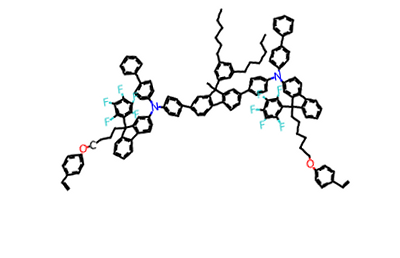 C=Cc1ccc(OCCCCCCC2(c3c(F)c(F)c(F)c(F)c3F)c3ccccc3-c3ccc(N(c4ccc(-c5ccccc5)cc4)c4ccc(-c5ccc6c(c5)C(C)(c5cc(CCCCCC)cc(CCCCCC)c5)c5cc(-c7ccc(N(c8ccc(-c9ccccc9)cc8)c8ccc9c(c8)C(CCCCOc8ccc(C=C)cc8)(c8c(F)c(F)c(F)c(F)c8F)c8ccccc8-9)cc7)ccc5-6)cc4)cc32)cc1